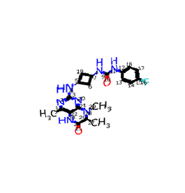 Cc1nc(N[C@H]2C[C@H](NC(=O)Nc3ccc(F)cc3)C2)nc2c1NC(=O)[C@H](C)N2C